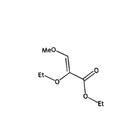 CCOC(=O)C(=COC)OCC